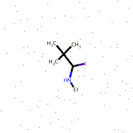 CCNC(I)C(C)(C)C